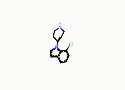 Clc1cccc2ccn(C3=CCNCC3)c12